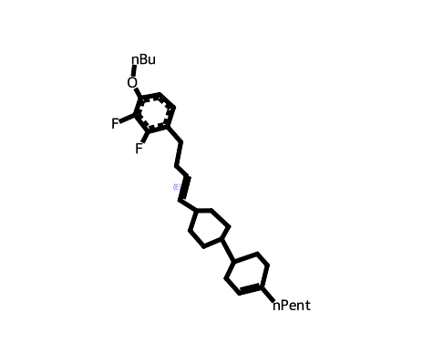 CCCCCC1=CCC(C2CCC(/C=C/CCc3ccc(OCCCC)c(F)c3F)CC2)CC1